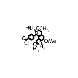 COc1cc2c(c3c1OC(C)(C)C3)C(c1ccc(C(=O)Cl)cc1)=NC(C)(C)C2.Cl